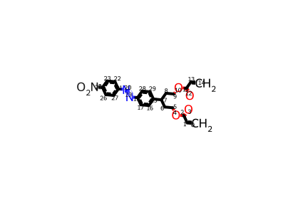 C=CC(=O)OCCC(CCOC(=O)C=C)c1ccc(/N=N/c2ccc([N+](=O)[O-])cc2)cc1